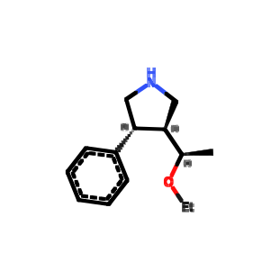 CCO[C@H](C)[C@@H]1CNC[C@H]1c1ccccc1